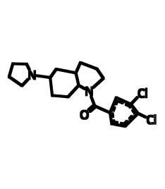 O=C(c1ccc(Cl)c(Cl)c1)N1CCCC2CC(N3CCCC3)CCC21